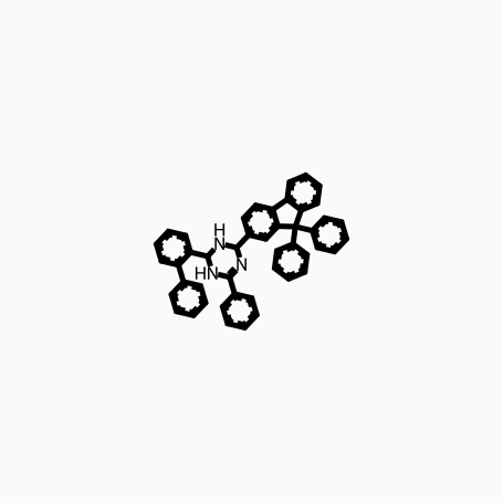 c1ccc(C2=NC(c3ccc4c(c3)C(c3ccccc3)(c3ccccc3)c3ccccc3-4)NC(c3ccccc3-c3ccccc3)N2)cc1